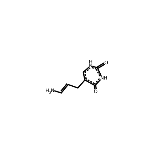 NC=CCc1c[nH]c(=O)[nH]c1=O